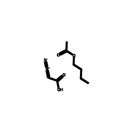 CCCCOC(C)=O.[N-]=[N+]=CC(=O)O